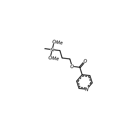 CO[Si](C)(CCCOC(=O)c1ccncc1)OC